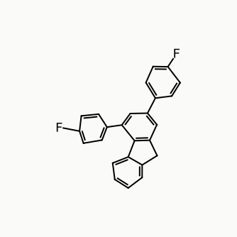 Fc1ccc(-c2cc3c(c(-c4ccc(F)cc4)c2)-c2ccccc2C3)cc1